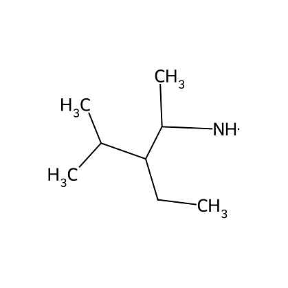 CCC(C(C)C)C(C)[NH]